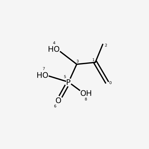 C=C(C)C(O)P(=O)(O)O